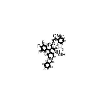 CO[C@@H](COC(=O)C1=C(C)NC2=C(C(=O)CN(Cc3ccccc3)C2)C1c1c(F)c(F)c(F)c(F)c1F)c1ccccc1.Cl